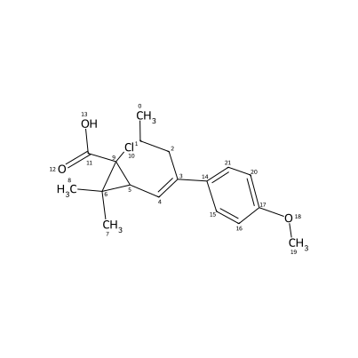 CCCC(=CC1C(C)(C)C1(Cl)C(=O)O)c1ccc(OC)cc1